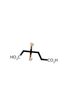 O=C(O)CCC(Br)(Br)CC(=O)O